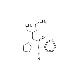 CCCC(CC)CC(=O)C(C#N)(c1ccccc1)C1CCCC1